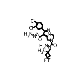 CC1(CN(N)C(=O)N2CCn3nc(-c4ccc(Cl)c(Cl)c4)c(C(=O)N=NN)c3C2)CC(F)(F)C1